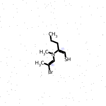 CCC/C(=C/S)N(C)/C=C(\C)Br